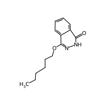 CCCCCCOc1n[nH]c(=O)c2ccccc12